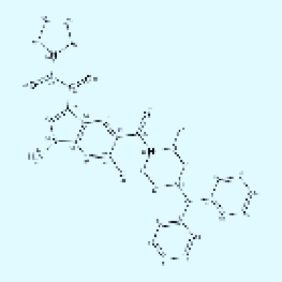 CC1CN(C(c2ccccc2)c2ccccc2)CCN1C(=O)c1cc2c(C(=O)C(=O)N3CCCC3)cn(N)c2cc1Cl